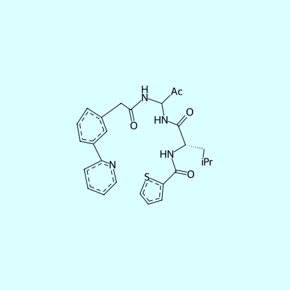 CC(=O)C(NC(=O)Cc1cccc(-c2ccccn2)c1)NC(=O)[C@H](CC(C)C)NC(=O)c1cccs1